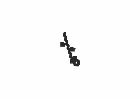 CCCCCC(Br)CCC(Br)CCCn1nc2ccccc2n1